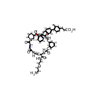 Cc1cc(CCC(=O)O)ccc1-c1ccc(C[C@@H]2NC(=O)[C@]3(Cc4ccccc4)CCCN(C3)C(=O)/C=C/C(=O)NCC[C@@H](C(=O)NCCOCCN)NC(=O)Cc3ccccc3CNC2=O)cc1